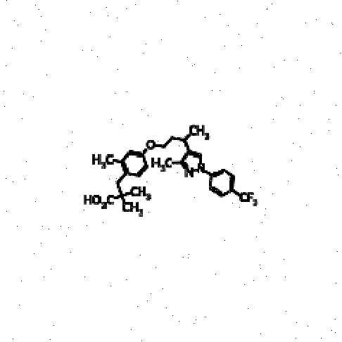 Cc1cc(OCCC(C)c2cn(-c3ccc(C(F)(F)F)cc3)nc2C)ccc1CC(C)(C)C(=O)O